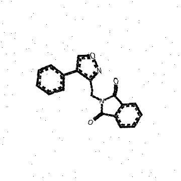 O=C1c2ccccc2C(=O)N1Cc1nocc1-c1ccccc1